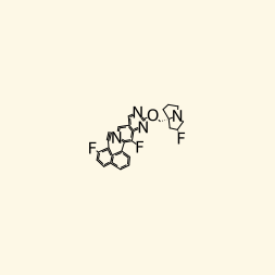 C#Cc1c(F)ccc2cccc(-c3ncc4cnc(OC[C@]56CCCN5C[C@H](F)C6)nc4c3F)c12